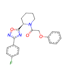 O=C(COc1ccccc1)N1CCCC[C@@H]1c1nc(-c2ccc(F)cc2)no1